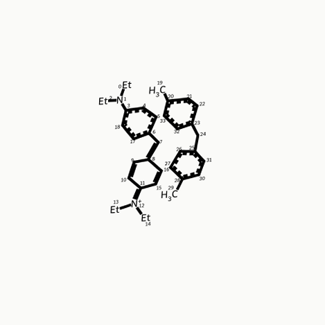 CCN(CC)c1ccc(C=C2C=CC(=[N+](CC)CC)C=C2)cc1.Cc1ccc(Cc2ccc(C)cc2)cc1